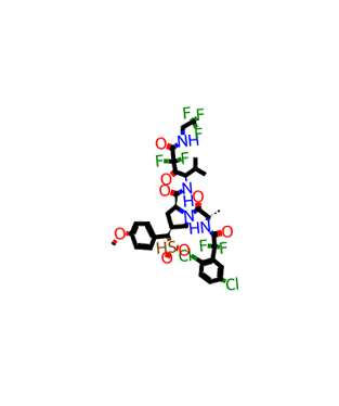 COc1ccc(C([C@@H]2C[C@@H](C(=O)N[C@H](C(=O)C(F)(F)C(=O)NCC(F)(F)F)C(C)C)N(C(=O)[C@H](C)NC(=O)C(F)(F)c3cc(Cl)ccc3Cl)C2)[SH](=O)=O)cc1